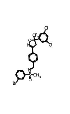 CS(=O)(=NCc1ccc(C2=NOC(c3cc(Cl)cc(Cl)c3)(C(F)(F)F)C2)cc1)c1cccc(Br)c1